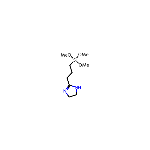 CO[Si](CCCC1=NCCN1)(OC)OC